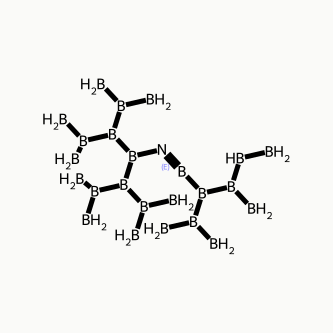 BBB(B)B(/B=N/B(B(B(B)B)B(B)B)B(B(B)B)B(B)B)B(B)B